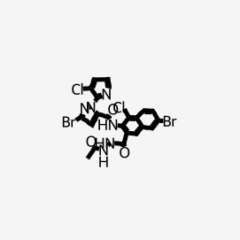 CC(=O)NNC(=O)c1cc2cc(Br)ccc2c(Cl)c1NC(=O)c1cc(Br)nn1-c1ncccc1Cl